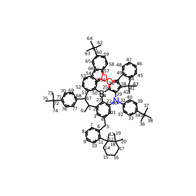 CC1c2cc(Cc3ccccc3C3(C)CCCCC3(C)C)cc3c2B(c2oc4c(c2N3c2ccc(C(C)(C)C)cc2)C(C)(C)c2ccccc2-4)c2c(ccc3c2oc2ccc(C(C)(C)C)cc23)C1c1ccc(C(C)(C)C)cc1